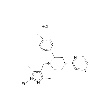 CCn1nc(C)c(CN2CCN(c3cnccn3)CC2c2ccc(F)cc2)c1C.Cl